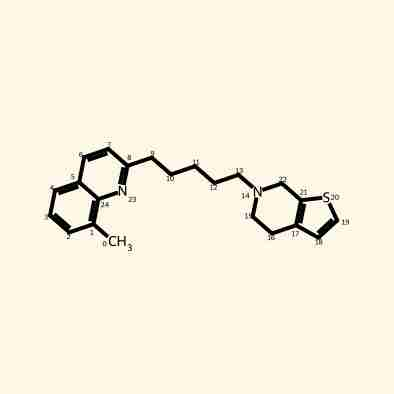 Cc1cccc2ccc(CCCCCN3CCc4ccsc4C3)nc12